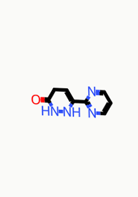 O=C1CC=C(c2ncccn2)NN1